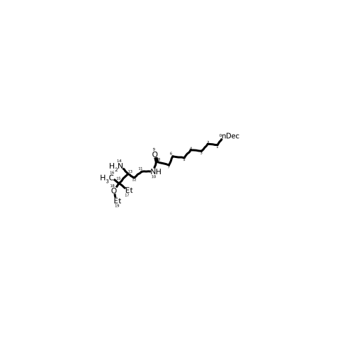 CCCCCCCCCCCCCCCCCC(=O)NCCC(N)C(C)(CC)OCC